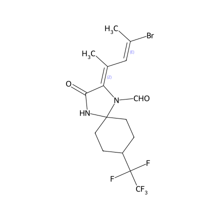 CC(/C=C(\C)Br)=C1\C(=O)NC2(CCC(C(F)(F)C(F)(F)F)CC2)N1C=O